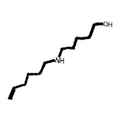 C=CCCCCNCCCCCO